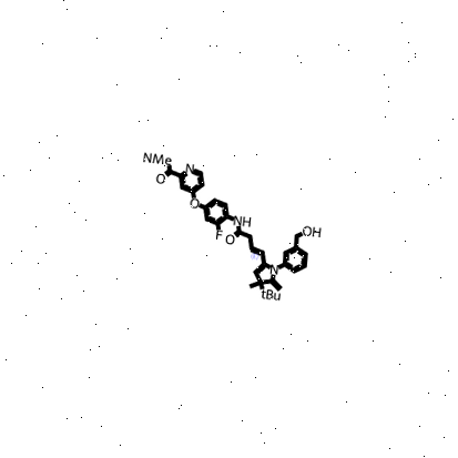 C=C1N(c2cccc(CO)c2)C(/C=C/CC(=O)Nc2ccc(Oc3ccnc(C(=O)NC)c3)cc2F)=CC1(C)C(C)(C)C